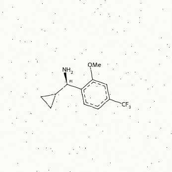 COc1cc(C(F)(F)F)ccc1[C@H](N)C1CC1